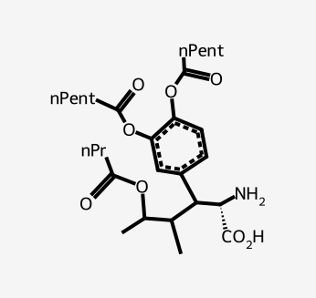 CCCCCC(=O)Oc1ccc(C(C(C)C(C)OC(=O)CCC)[C@H](N)C(=O)O)cc1OC(=O)CCCCC